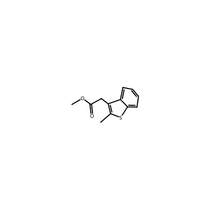 COC(=O)Cc1c(C)sc2ccccc12